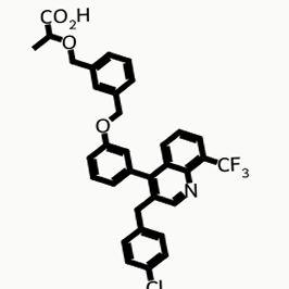 CC(OCc1cccc(COc2cccc(-c3c(Cc4ccc(Cl)cc4)cnc4c(C(F)(F)F)cccc34)c2)c1)C(=O)O